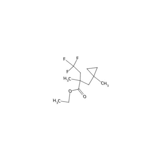 CCOC(=O)C(C)(CC(F)(F)F)CC1(C)CC1